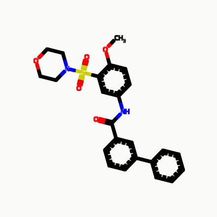 COc1ccc(NC(=O)c2cccc(-c3ccccc3)c2)cc1S(=O)(=O)N1CCOCC1